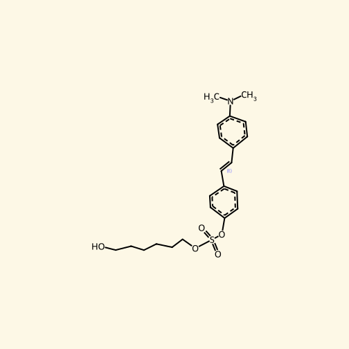 CN(C)c1ccc(/C=C/c2ccc(OS(=O)(=O)OCCCCCCO)cc2)cc1